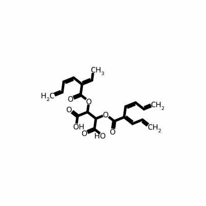 C=C/C=C\C(=C/C)C(=O)OC(C(=O)O)C(OC(=O)C(/C=C\C=C)=C/C=C)C(=O)O